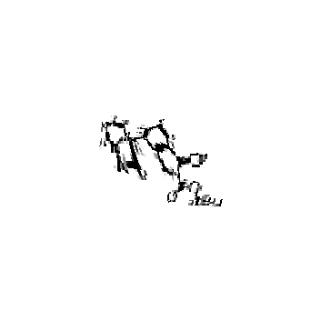 CC(C)(C)OC(=O)N1Cc2c(cccc2-c2cnc3cnccn23)C1=O